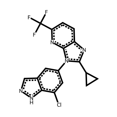 FC(F)(F)c1ccc2nc(C3CC3)n(-c3cc(Cl)c4[nH]ncc4c3)c2n1